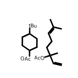 C=CC(C)(CCC=C(C)C)OC(C)=O.CC(=O)OC1CCC(C(C)(C)C)CC1